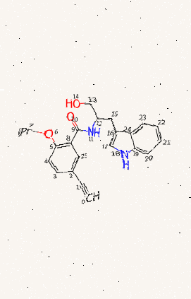 C#Cc1ccc(OC(C)C)c(C(=O)NC(CO)Cc2c[nH]c3ccccc23)c1